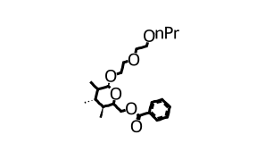 CCCOCCOCCO[C@@H]1OC(COC(=O)c2ccccc2)[C@@H](C)[C@H](C)C1C